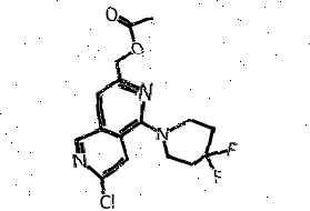 CC(=O)OCc1cc2cnc(Cl)cc2c(N2CCC(F)(F)CC2)n1